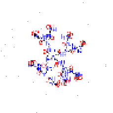 O=C(CCN(CCNC(=O)CCN(CCC(=O)NCCN(CCC(=O)NCCNB1OCCO1)CCC(=O)NCCNB1OCCO1)CCN(CCC(=O)NCCN(CCC(=O)NCCNB1OCCO1)CCC(=O)NCCNB1OCCO1)CCC(=O)NCCN(CCC(=O)NCCNB1OCCO1)CCC(=O)NCCNB1OCCO1)CCC(=O)NCCNB1OCCO1)NCCNB1OCCO1